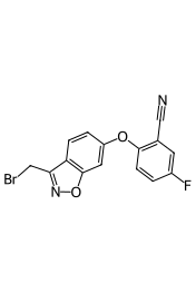 N#Cc1cc(F)ccc1Oc1ccc2c(CBr)noc2c1